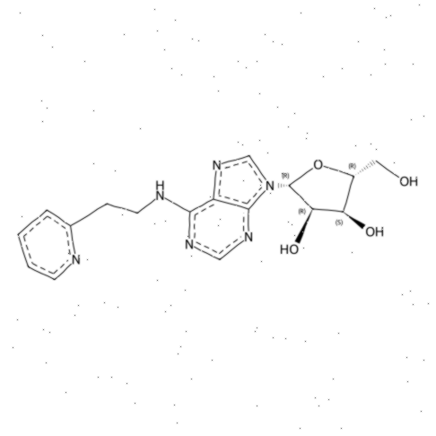 OC[C@H]1O[C@@H](n2cnc3c(NCCc4ccccn4)ncnc32)[C@H](O)[C@@H]1O